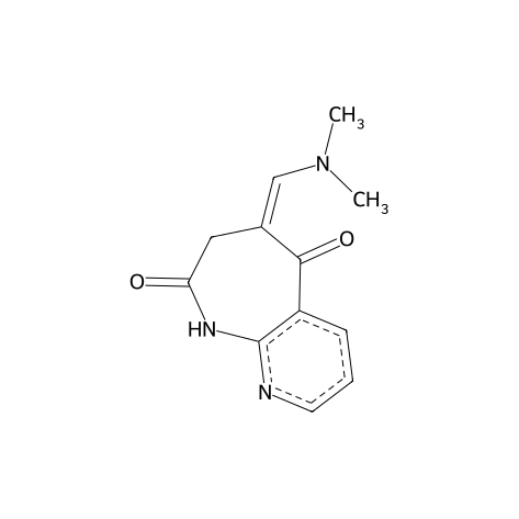 CN(C)C=C1CC(=O)Nc2ncccc2C1=O